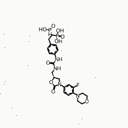 O=C(NC[C@H]1CN(c2ccc(N3CCOCC3)c(F)c2)C(=O)O1)Nc1ccc(CC([PH](=O)O)P(=O)(O)O)cc1